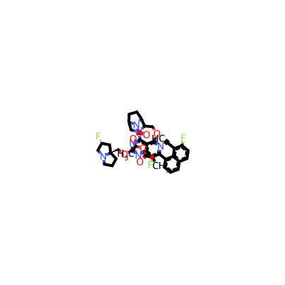 C#Cc1c(F)ccc2cccc(-c3nc4c5c(nc(OC[C@@]67CCCN6C[C@H](F)C7)nc5c3F)N3CC5CCC(C3CO4)N5C(=O)OC(C)OC(=O)CC)c12